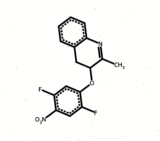 CC1=Nc2ccccc2CC1Oc1cc(F)c([N+](=O)[O-])cc1F